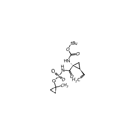 C=C[C@@H]1C[C@]1(NC(=O)OC(C)(C)C)C(=O)NS(=O)(=O)OC1(C)CC1